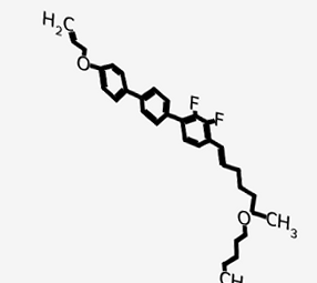 C=CCOc1ccc(-c2ccc(-c3ccc(C=CCCCC(C)OCCCCC)c(F)c3F)cc2)cc1